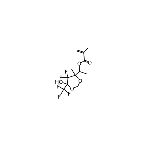 C=C(C)C(=O)OC(C)C1(C)OCOC(O)(C(F)(F)F)C1(F)F